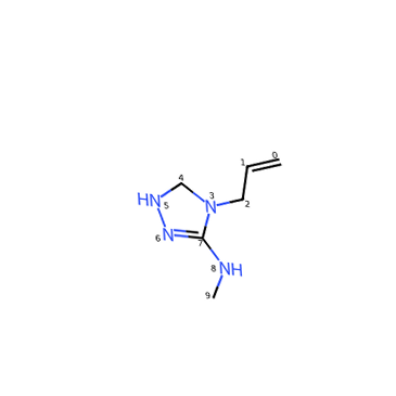 C=CCN1CNN=C1NC